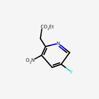 CCOC(=O)Cc1ncc(F)cc1[N+](=O)[O-]